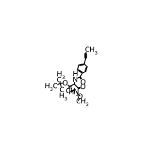 CC#Cc1ccc(C(=O)NC(C(=O)NOC)[C@@H](C)OC(C)(C)C)cc1